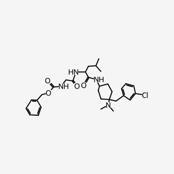 CC(C)CC(NC(=O)CNC(=O)OCc1ccccc1)C(=O)NC1CCC(Cc2cccc(Cl)c2)(N(C)C)CC1